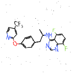 CC(Cc1ccc(Oc2cc(C(F)(F)F)ccn2)cc1)Nc1ncnc2c(F)ccc(F)c12